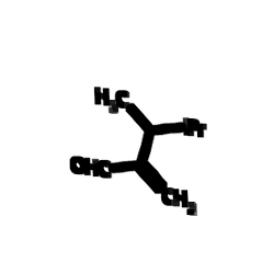 C=C(C=O)C(C)C(C)C